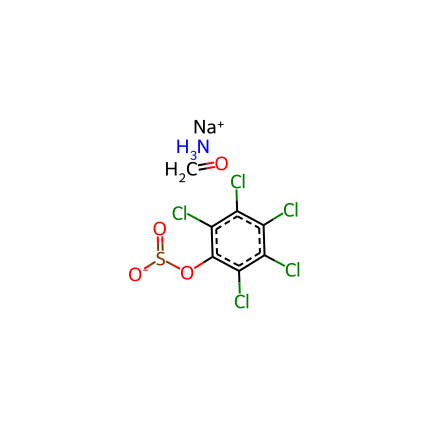 C=O.N.O=S([O-])Oc1c(Cl)c(Cl)c(Cl)c(Cl)c1Cl.[Na+]